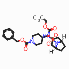 O=C(NC1C[C@H]2CC[C@@H](C1)N2S(=O)(=O)CC1CCN(C(=O)OCc2ccccc2)CC1)OCC(Cl)(Cl)Cl